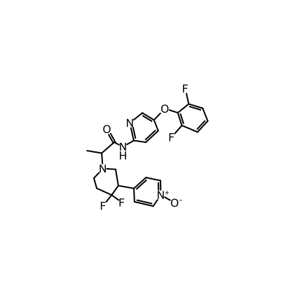 CC(C(=O)Nc1ccc(Oc2c(F)cccc2F)cn1)N1CCC(F)(F)C(c2cc[n+]([O-])cc2)C1